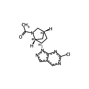 CC(=O)N1C[C@H]2C[C@@H]1[C@@H](n1ncc3cnc(Cl)nc31)C2